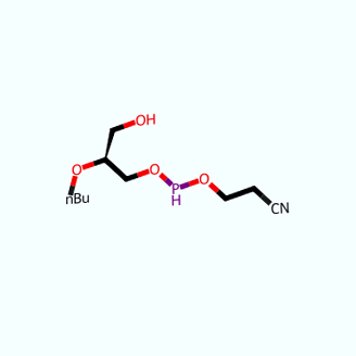 CCCCO[C@@H](CO)COPOCCC#N